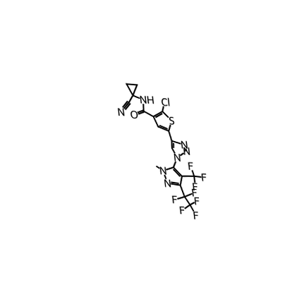 Cn1nc(C(F)(F)C(F)(F)F)c(C(F)(F)F)c1-n1cc(-c2cc(C(=O)NC3(C#N)CC3)c(Cl)s2)nn1